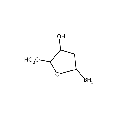 BC1CC(O)C(C(=O)O)O1